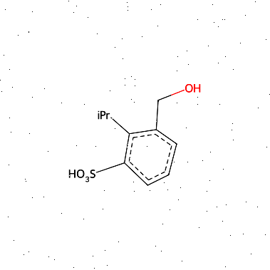 CC(C)c1c(CO)cccc1S(=O)(=O)O